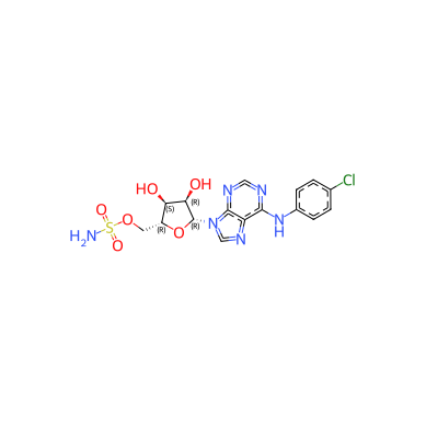 NS(=O)(=O)OC[C@H]1O[C@@H](n2cnc3c(Nc4ccc(Cl)cc4)ncnc32)[C@H](O)[C@@H]1O